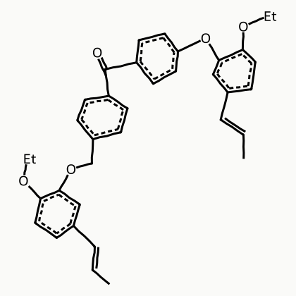 C/C=C/c1ccc(OCC)c(OCc2ccc(C(=O)c3ccc(Oc4cc(/C=C/C)ccc4OCC)cc3)cc2)c1